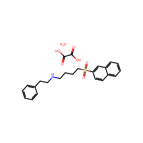 O.O=C(O)C(=O)O.O=S(=O)(CCCCNCCc1ccccc1)c1ccc2ccccc2c1